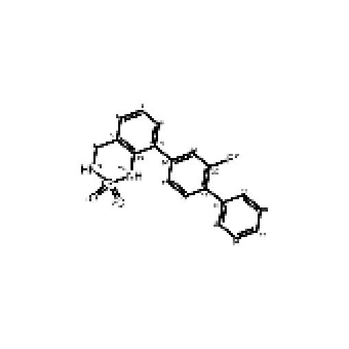 O=S1(=O)NCc2cccc(-c3ccc(-c4ccccc4)c(F)c3)c2N1